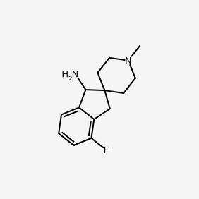 CN1CCC2(CC1)Cc1c(F)cccc1C2N